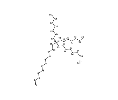 CCCCCCCCCCCC[N+](CCCCCCC)(CCCCCCC)CCCCCCC.[I-]